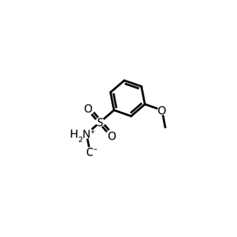 [CH2-][NH2+]S(=O)(=O)c1cccc(OC)c1